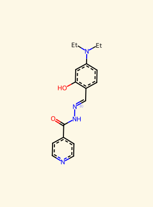 CCN(CC)c1ccc(/C=N/NC(=O)c2ccncc2)c(O)c1